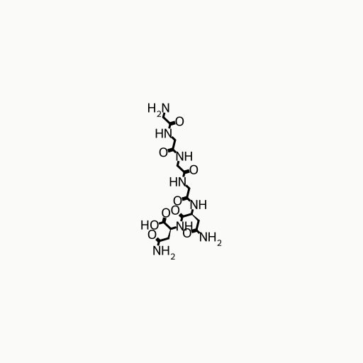 NCC(=O)NCC(=O)NCC(=O)NCC(=O)N[C@@H](CC(N)=O)C(=O)N[C@@H](CC(N)=O)C(=O)O